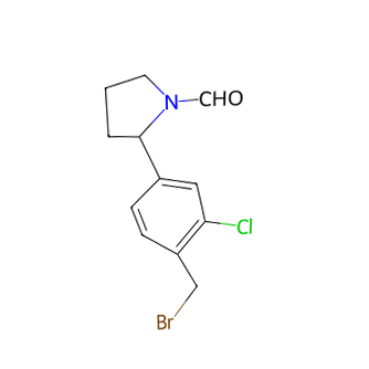 O=CN1CCCC1c1ccc(CBr)c(Cl)c1